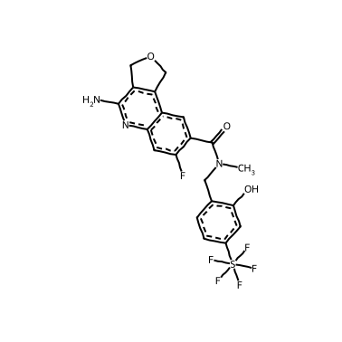 CN(Cc1ccc(S(F)(F)(F)(F)F)cc1O)C(=O)c1cc2c3c(c(N)nc2cc1F)COC3